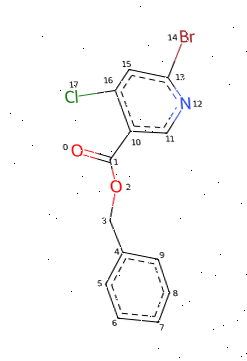 O=C(OCc1ccccc1)c1cnc(Br)cc1Cl